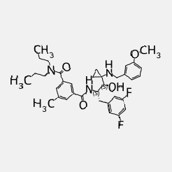 CCCN(CCC)C(=O)c1cc(C)cc(C(=O)N[C@@H](Cc2cc(F)cc(F)c2)[C@H](O)C2(NCc3cccc(OC)c3)CC2)c1